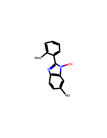 COc1ccccc1-c1nc2ccc(N=O)cc2n1O